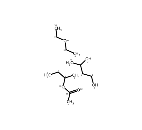 CC(O)CCO.CCC(C)OC(C)=O.CCOCC